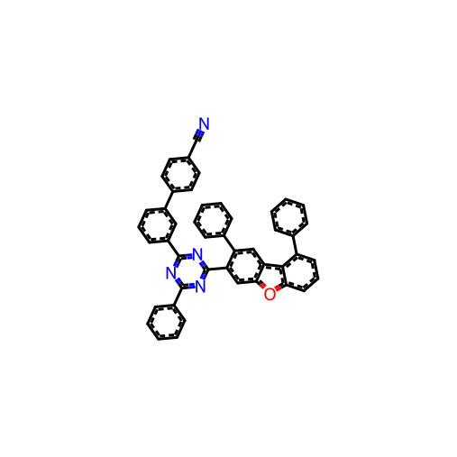 N#Cc1ccc(-c2cccc(-c3nc(-c4ccccc4)nc(-c4cc5oc6cccc(-c7ccccc7)c6c5cc4-c4ccccc4)n3)c2)cc1